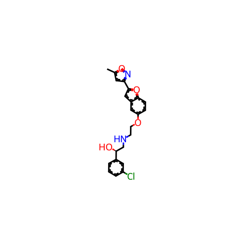 Cc1cc(-c2cc3cc(OCCNC[C@H](O)c4cccc(Cl)c4)ccc3o2)no1